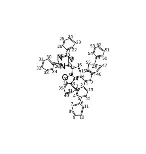 C(=C(\c1ccc(-c2ccccc2)cc1)c1ccc(-c2nc(-c3ccccc3)nc(-c3ccccc3)n2)c2oc3ccccc3c12)/c1ccc(-c2ccccc2)cc1